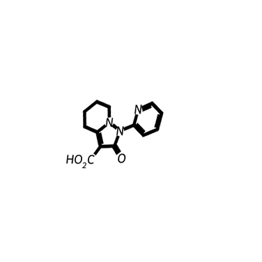 O=C(O)c1c2n(n(-c3ccccn3)c1=O)CCCC2